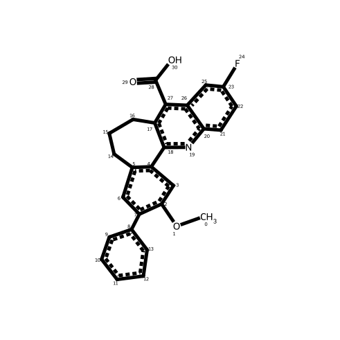 COc1cc2c(cc1-c1ccccc1)CCCc1c-2nc2ccc(F)cc2c1C(=O)O